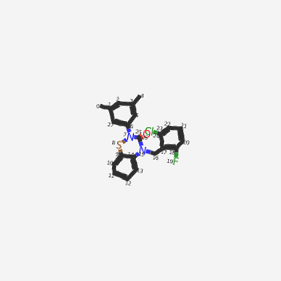 Cc1cc(C)cc(N2Sc3ccccc3N(Cc3c(F)cccc3Cl)C2=O)c1